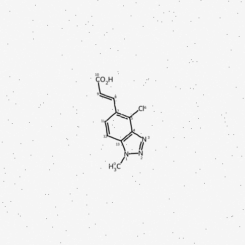 Cn1nnc2c(Cl)c(C=CC(=O)O)ccc21